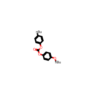 CCCCOc1ccc(OC(=O)Oc2ccc(CCCC)cc2)cc1